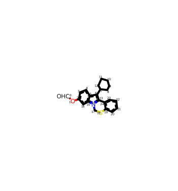 O=COc1ccc2c(C3CCCCC3)c3n(c2c1)CSc1ccccc1-3